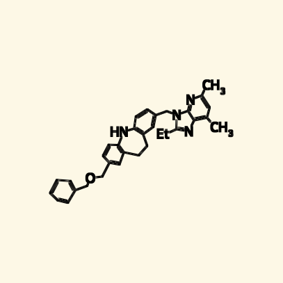 CCc1nc2c(C)cc(C)nc2n1Cc1ccc2c(c1)CCc1cc(COCc3ccccc3)ccc1N2